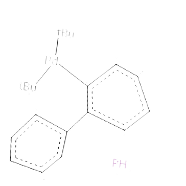 C[C](C)(C)[Pd]([c]1ccccc1-c1ccccc1)[C](C)(C)C.P